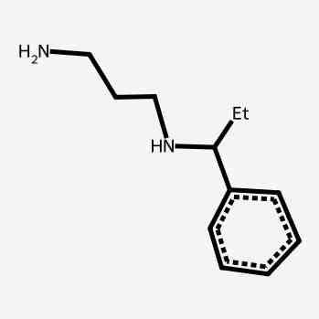 CCC(NCCCN)c1ccccc1